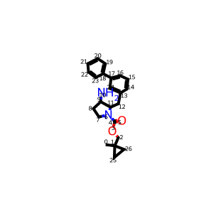 CC1(COC(=O)N2CCC(N)C2Cc2cccc(-c3ccccc3)c2)CC1